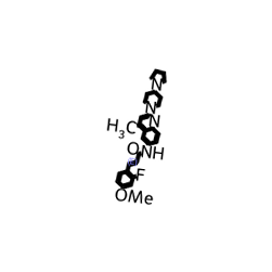 COc1ccc(/C=C/C(=O)Nc2ccc3nc(N4CCC(N5CCCC5)CC4)cc(C)c3c2)c(F)c1